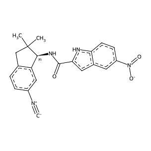 [C-]#[N+]c1ccc2c(c1)[C@H](NC(=O)c1cc3cc([N+](=O)[O-])ccc3[nH]1)C(C)(C)C2